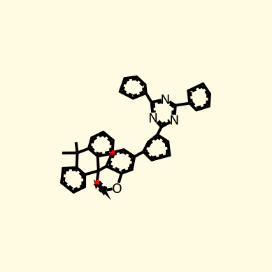 CC1(C)c2ccccc2C2(c3ccccc3Oc3cc(-c4cccc(-c5nc(-c6ccccc6)nc(-c6ccccc6)n5)c4)ccc32)c2ccccc21